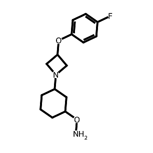 NOC1CCCC(N2CC(Oc3ccc(F)cc3)C2)C1